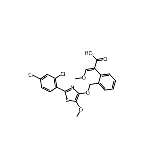 CO/C=C(/C(=O)O)c1ccccc1COc1nc(-c2ccc(Cl)cc2Cl)sc1OC